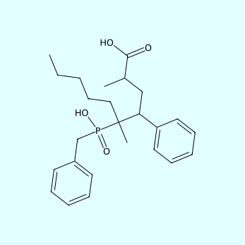 CCCCCC(C)(C(CC(C)C(=O)O)c1ccccc1)P(=O)(O)Cc1ccccc1